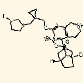 CC(C)(C)OC(=O)N1[C@@H]2CC[C@@]1(C)CN(c1nc(OCC3(CN4CC[C@@H](F)C4)CC3)nc3c1CCNC3)C2